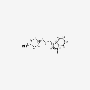 CCCC1CCN(CCCc2n[nH]c3ccccc23)CC1